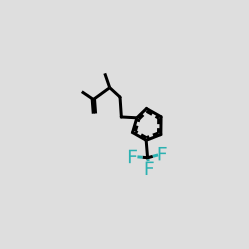 C=C(C)C(C)CCc1cccc(C(F)(F)F)c1